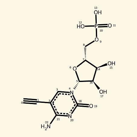 C#Cc1cn([C@@H]2O[C@H](COP(=O)(O)O)[C@@H](O)[C@H]2O)c(=O)nc1N